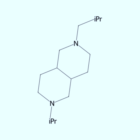 CC(C)CN1CCC2CN(C(C)C)CCC2C1